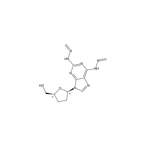 C=NNc1nc(NN=C)c2ncn([C@H]3CC[C@@H](CO)O3)c2n1